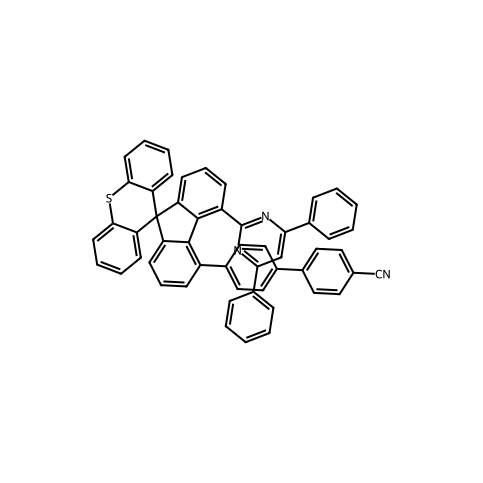 N#Cc1ccc(-c2ccc(-c3cccc4c3-c3c(-c5nc(-c6ccccc6)cc(-c6ccccc6)n5)cccc3C43c4ccccc4Sc4ccccc43)cc2)cc1